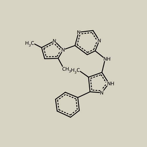 Cc1cc(C)n(-c2cc(Nc3[nH]nc(-c4ccccc4)c3C)ncn2)n1